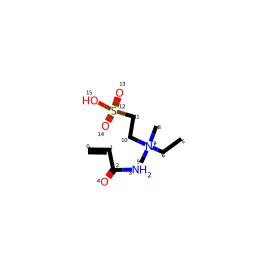 C=CC(N)=O.CC[N+](C)(C)CCS(=O)(=O)O